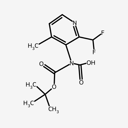 Cc1ccnc(C(F)F)c1N(C(=O)O)C(=O)OC(C)(C)C